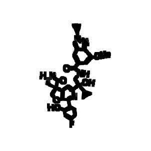 COc1cc(C(=O)NC[C@](O)(c2cc3c(c(-c4ccc(F)cc4O)n2)OC[C@]3(C)C(N)=O)C2CC2)cc2cn(C3CC3)nc12